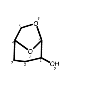 OC1CCC2COC1O2